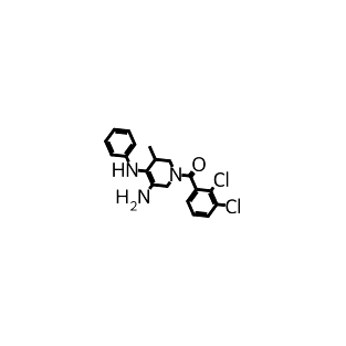 CC1CN(C(=O)c2cccc(Cl)c2Cl)CC(N)=C1Nc1ccccc1